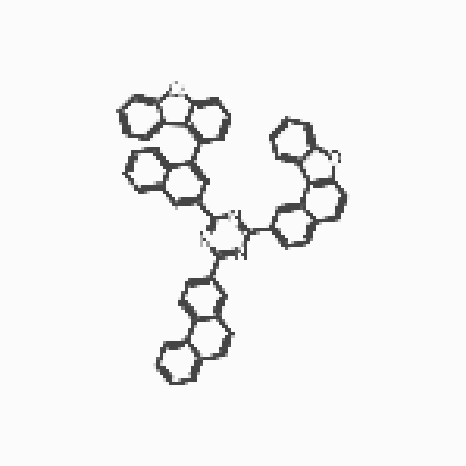 c1ccc2c(-c3cccc4oc5ccccc5c34)cc(-c3nc(-c4ccc5c(ccc6ccccc65)c4)nc(-c4ccc5ccc6oc7ccccc7c6c5c4)n3)cc2c1